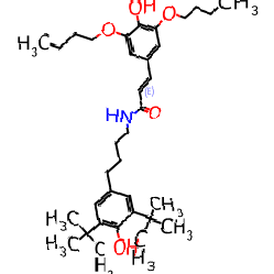 CCCCOc1cc(/C=C/C(=O)NCCCCc2cc(C(C)(C)C)c(O)c(C(C)(C)C)c2)cc(OCCCC)c1O